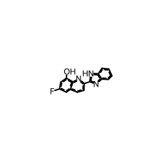 Oc1cc(F)cc2ccc(-c3nc4ccccc4[nH]3)nc12